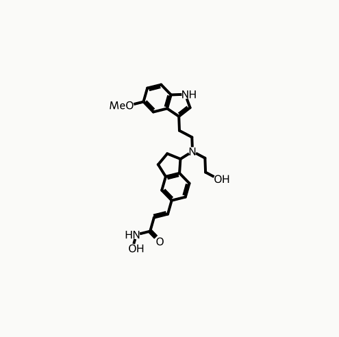 COc1ccc2[nH]cc(CCN(CCO)C3CCc4cc(C=CC(=O)NO)ccc43)c2c1